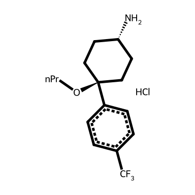 CCCO[C@]1(c2ccc(C(F)(F)F)cc2)CC[C@@H](N)CC1.Cl